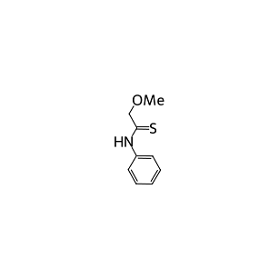 COCC(=S)Nc1ccccc1